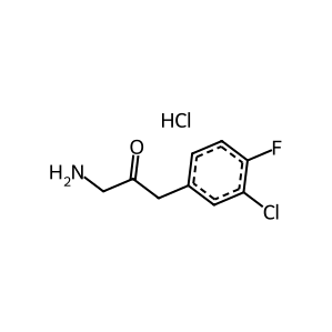 Cl.NCC(=O)Cc1ccc(F)c(Cl)c1